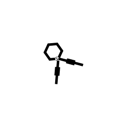 CC#C[Si]1(C#CC)CCCCC1